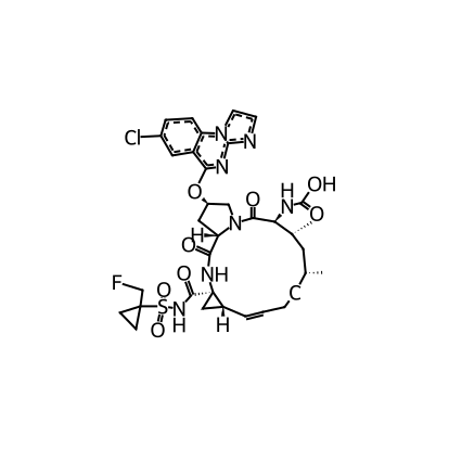 C[C@@H]1CCC=C[C@@H]2C[C@@]2(C(=O)NS(=O)(=O)C2(CF)CC2)NC(=O)[C@@H]2C[C@@H](Oc3nc4nccn4c4ccc(Cl)cc34)CN2C(=O)[C@@H](NC(=O)O)[C@H](C)C1